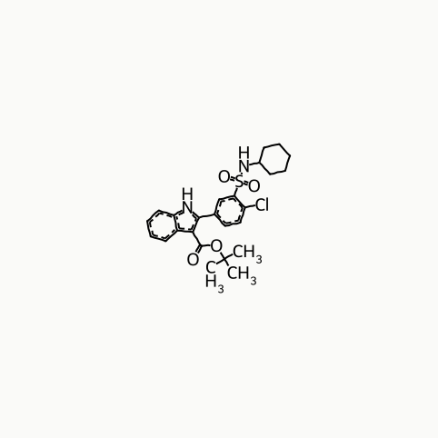 CC(C)(C)OC(=O)c1c(-c2ccc(Cl)c(S(=O)(=O)NC3CCCCC3)c2)[nH]c2ccccc12